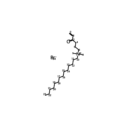 C=CC(=O)CCC[N+](C)(C)CCCCCCCCCCCCCC.[Br-]